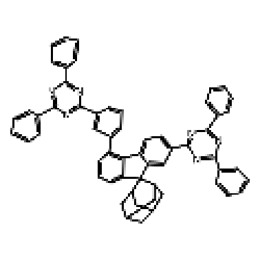 c1ccc(-c2nc(-c3ccccc3)nc(-c3cccc(-c4cccc5c4-c4ccc(-c6nc(-c7ccccc7)nc(-c7ccccc7)n6)cc4C54C5CC6CC(C5)CC4C6)c3)n2)cc1